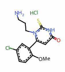 COc1ccc(Cl)cc1-c1cc(=O)[nH]c(=S)n1CCCN.Cl